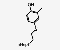 CCCCCCCCCSc1ccc(O)c(C)c1